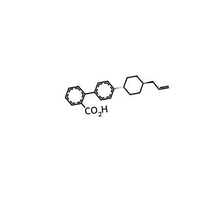 C=CC[C@H]1CC[C@H](c2ccc(-c3ccccc3C(=O)O)cc2)CC1